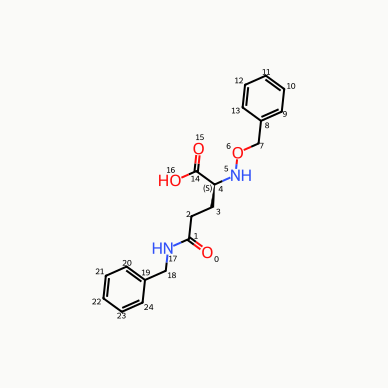 O=C(CC[C@H](NOCc1ccccc1)C(=O)O)NCc1ccccc1